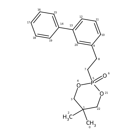 CC1(C)COP(=O)(CCc2cccc(-c3ccccc3)c2)OC1